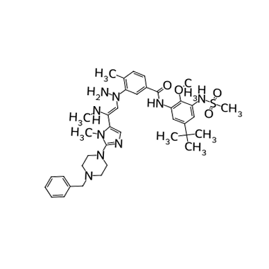 CN/C(=C\N(N)c1cc(C(=O)Nc2cc(C(C)(C)C)cc(NS(C)(=O)=O)c2OC)ccc1C)c1cnc(N2CCN(Cc3ccccc3)CC2)n1C